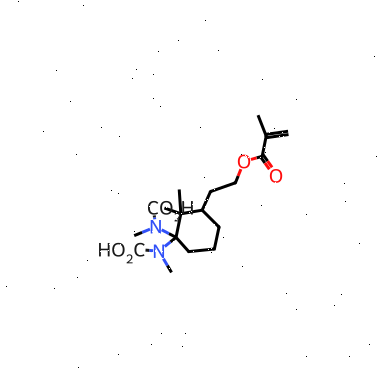 C=C(C)C(=O)OCCC1CCCC(N(C)C(=O)O)(N(C)C(=O)O)C1(C)C